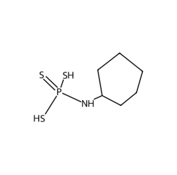 S=P(S)(S)NC1CCCCC1